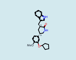 COc1ccc([C@H]2CNC(=O)[C@H](Cc3c[nH]c4ccccc34)C2)cc1OC1CCCC1